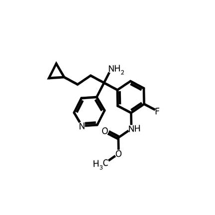 COC(=O)Nc1cc(C(N)(CCC2CC2)c2ccncc2)ccc1F